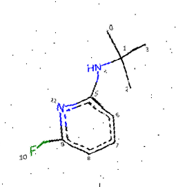 CC(C)(C)Nc1cccc(F)n1